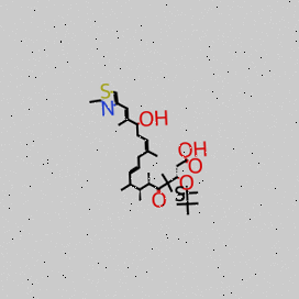 C/C(=C/C[C@H](O)/C(C)=C/c1csc(C)n1)C/C=C/C(C)[C@H](C)[C@@H](C)C(=O)C(C)(C)[C@H](CC(=O)O)O[Si](C)(C)C(C)(C)C